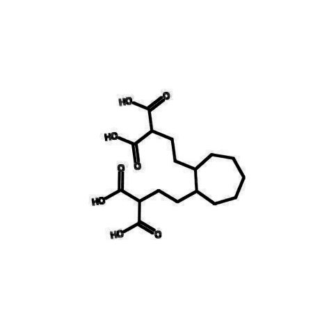 O=C(O)C(CCC1CCCCCC1CCC(C(=O)O)C(=O)O)C(=O)O